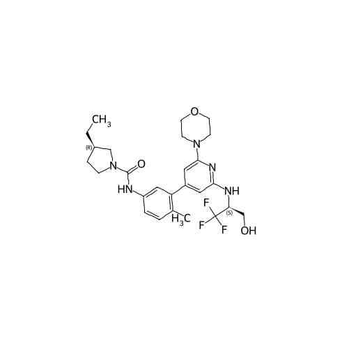 CC[C@@H]1CCN(C(=O)Nc2ccc(C)c(-c3cc(N[C@@H](CO)C(F)(F)F)nc(N4CCOCC4)c3)c2)C1